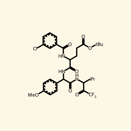 COc1ccc(C(NC(=O)C(CCC(=O)OC(C)(C)C)NC(=O)c2cccc(Cl)c2)C(=O)NC(C(=O)C(F)(F)F)C(C)C)cc1